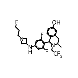 C[C@@H]1Cc2cc(O)ccc2[C](c2c(F)cc(NC3CN(CCCF)C3)cc2F)N1CC(F)(F)F